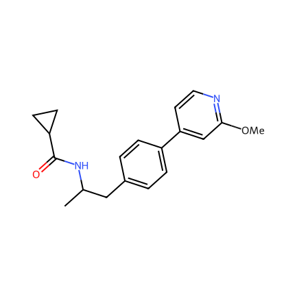 COc1cc(-c2ccc(CC(C)NC(=O)C3CC3)cc2)ccn1